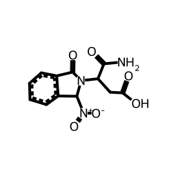 NC(=O)C(CC(=O)O)N1C(=O)c2ccccc2C1[N+](=O)[O-]